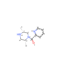 C[C@@H]1CN(C(=O)c2ccccn2)[C@H](C)CN1